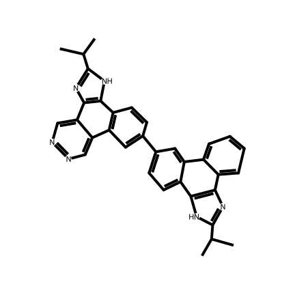 CC(C)c1nc2c3ccccc3c3cc(-c4ccc5c(c4)c4cnncc4c4nc(C(C)C)[nH]c54)ccc3c2[nH]1